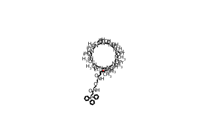 CC[C@@H]1NC(=O)[C@H]([C@H](O)[C@H](C)C/C=C/C(=O)NCCOCCNC(=O)CC[P+](c2ccccc2)(c2ccccc2)c2ccccc2)N(C)C(=O)[C@H](C(C)C)N(C)C(=O)[C@H](CC(C)C)N(C)C(=O)[C@H](CC(C)C)N(C)C(=O)[C@@H](C)NC(=O)[C@H](C)NC(=O)[C@H](CC(C)C)N(C)C(=O)[C@H](C(C)C)NC(=O)[C@H](CC(C)C)N(C)C(=O)CN(C)C1=O